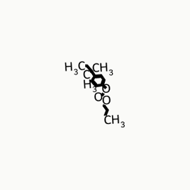 CCCCOC(=O)Oc1ccc(C(C)(C)CC)cc1